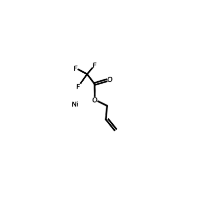 C=CCOC(=O)C(F)(F)F.[Ni]